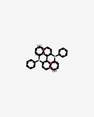 Oc1ccc(P(c2ccccc2)c2ccccc2)c(-c2c(P(c3ccccc3)c3ccccc3)ccc(O)c2O)c1O